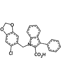 O=C(O)c1c(-c2ccccc2)c2ccccc2n1Cc1cc2c(cc1Cl)OCO2